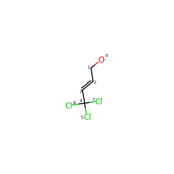 [O]C/C=C/C(Cl)(Cl)Cl